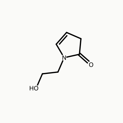 O=C1CC=CN1CCO